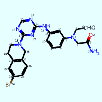 NC(=O)CN(CC=O)c1cccc(Nc2ncnc(N3CCc4cc(Br)ccc4C3)n2)c1